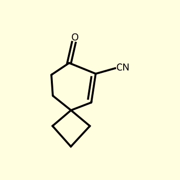 N#CC1=CC2(CCC2)CCC1=O